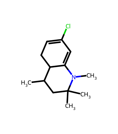 CC1CC(C)(C)N(C)C2=CC(Cl)=CCC21